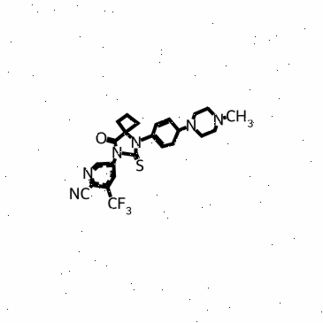 CN1CCN(C2C=CC(N3C(=S)N(c4cnc(C#N)c(C(F)(F)F)c4)C(=O)C34CCC4)=CC2)CC1